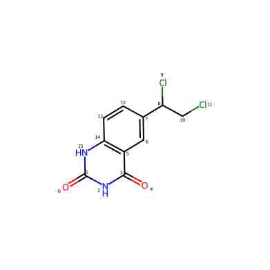 O=c1[nH]c(=O)c2cc(C(Cl)CCl)ccc2[nH]1